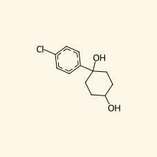 OC1CCC(O)(c2ccc(Cl)cc2)CC1